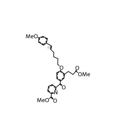 COC(=O)CCc1cc(C(=O)c2cccc(C(=O)OC)n2)ccc1OCCCC/C=C/c1ccc(OC)cc1